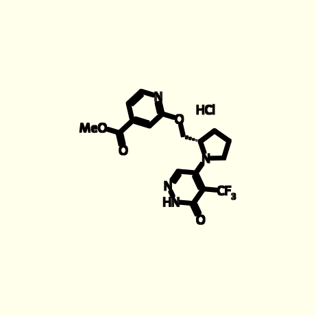 COC(=O)c1ccnc(OC[C@@H]2CCCN2c2cn[nH]c(=O)c2C(F)(F)F)c1.Cl